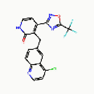 O=c1[nH]ccc(-c2noc(C(F)(F)F)n2)c1Cc1ccc2nccc(Cl)c2c1